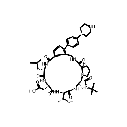 CC(C)C[C@@H]1NC(=O)c2ccc(-c3ccc(N4CCNCC4)cc3)c(c2)CNC(=O)[C@@H]2CCCN2[C@H](C(=O)NC(C)(C)C)[C@H](C)NC(=O)[C@H]([C@@H](C)O)NC(=O)[C@H](CC(=O)O)NC1=O